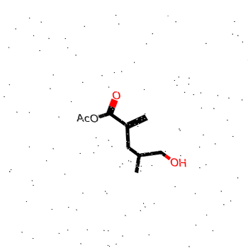 C=C(CC(C)CO)C(=O)OC(C)=O